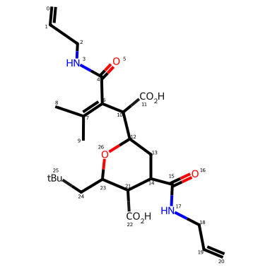 C=CCNC(=O)C(=C(C)C)C(C(=O)O)C1CC(C(=O)NCC=C)C(C(=O)O)C(CC(C)(C)C)O1